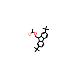 CC(=O)OCC1C2C=C(C(C)(C)C)C=CC2C2C=CC(C(C)(C)C)=CC21